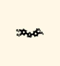 O=[N+]([O-])c1ccc(-c2nnc(-c3ccc([N+](=O)[O-])c([N+](=O)[O-])c3)o2)cc1[N+](=O)[O-]